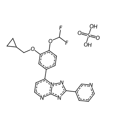 FC(F)Oc1ccc(-c2ccnc3nc(-c4cccnc4)nn23)cc1OCC1CC1.O=S(=O)(O)O